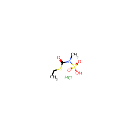 CCSC(=O)N(C)S(=O)(=O)O.Cl